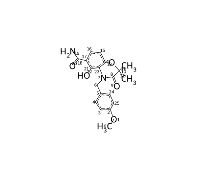 COc1ccc(CN2C(=O)C(C)(C)Oc3ccc(C(N)=O)c(O)c32)cc1